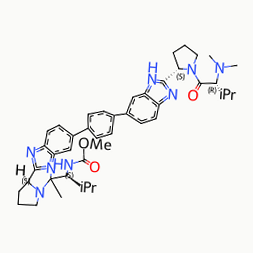 COC(=O)N[C@@H](C(C)C)C1(C)N2CCC[C@H]2c2nc3ccc(-c4ccc(-c5ccc6nc([C@@H]7CCCN7C(=O)[C@@H](C(C)C)N(C)C)[nH]c6c5)cc4)cc3n21